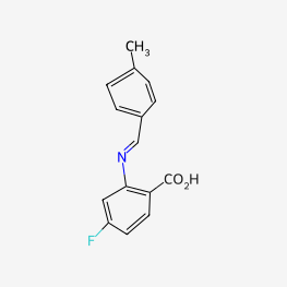 Cc1ccc(C=Nc2cc(F)ccc2C(=O)O)cc1